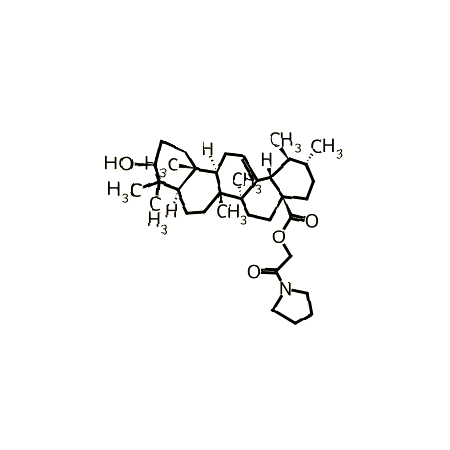 C[C@H]1[C@H](C)CC[C@]2(C(=O)OCC(=O)N3CCCC3)CC[C@]3(C)C(=CC[C@@H]4[C@@]5(C)CC[C@H](O)C(C)(C)[C@@H]5CC[C@]43C)[C@H]12